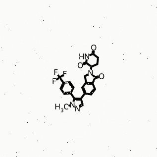 Cn1ncc(-c2ccc3c(c2)CN(C2CCC(=O)NC2=O)C3=O)c1-c1ccc(C(F)(F)F)cc1